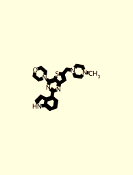 CN1CCN(Cc2cc3nc(-c4cccc5[nH]ccc45)nc(N4CCOCC4)c3s2)CC1